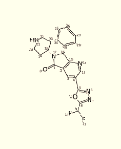 O=C1c2cc(-c3nnc(C(F)F)o3)cnc2CN1[C@@H]1CCNC[C@@H]1c1ccccc1